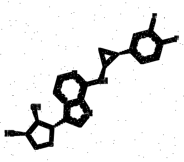 O[C@@H]1[C@H](O)CS[C@H]1c1cnc2c(N[C@H]3C[C@@H]3c3ccc(F)c(F)c3)nccn12